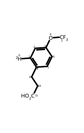 [2H]c1cc(OC(F)(F)F)ccc1CCC(=O)O